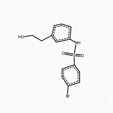 O=S(=O)(Nc1cccc(CCO)c1)c1ccc(Br)cc1